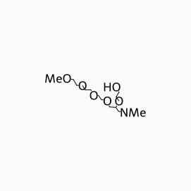 CNCC(COCCOCCOCCOC)OCCO